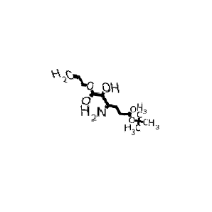 C=CCOC(=O)C(O)C(N)CCC(=O)OC(C)(C)C